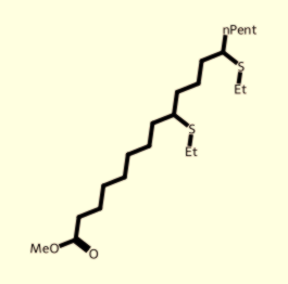 CCCCCC(CCCC(CCCCCCCC(=O)OC)SCC)SCC